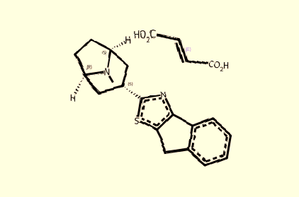 CN1[C@@H]2CC[C@H]1C[C@H](c1nc3c(s1)Cc1ccccc1-3)C2.O=C(O)/C=C/C(=O)O